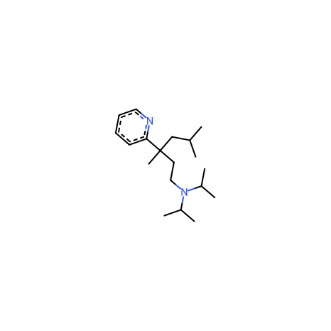 CC(C)CC(C)(CCN(C(C)C)C(C)C)c1ccccn1